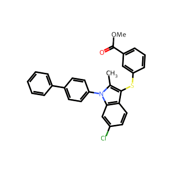 COC(=O)c1cccc(Sc2c(C)n(-c3ccc(-c4ccccc4)cc3)c3cc(Cl)ccc23)c1